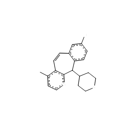 Clc1ccc2c(c1)C=Cc1c(Cl)ccnc1C2C1CCNCC1